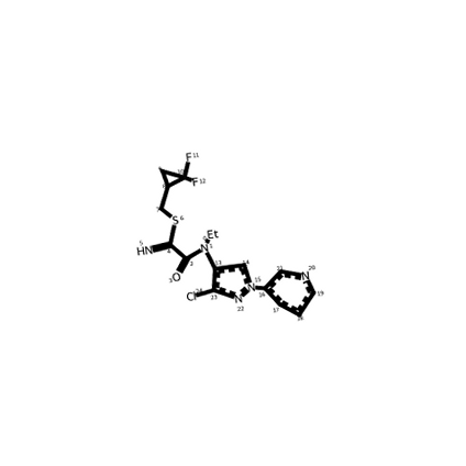 CCN(C(=O)C(=N)SCC1CC1(F)F)c1cn(-c2cccnc2)nc1Cl